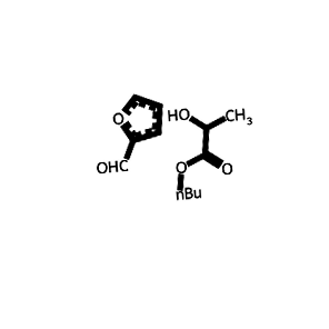 CCCCOC(=O)C(C)O.O=Cc1ccco1